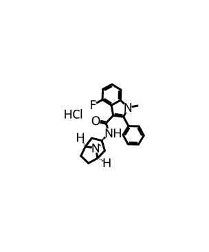 CN1[C@@H]2CC[C@H]1C[C@@H](NC(=O)c1c(-c3ccccc3)n(C)c3cccc(F)c13)C2.Cl